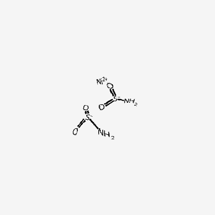 N[S-](=O)=O.N[S-](=O)=O.[Ni+2]